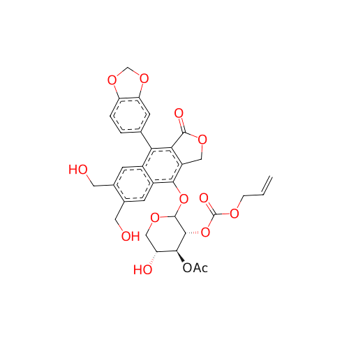 C=CCOC(=O)O[C@H]1C(Oc2c3c(c(-c4ccc5c(c4)OCO5)c4cc(CO)c(CO)cc24)C(=O)OC3)OC[C@@H](O)[C@@H]1OC(C)=O